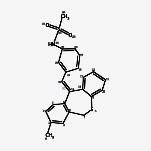 Cc1ccc2c(c1)CSc1ccccc1/C2=C\c1cccc(NS(C)(=O)=O)c1